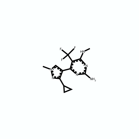 CNc1nc(N)nc(-c2cn(C)nc2C2CC2)c1C(F)(F)F